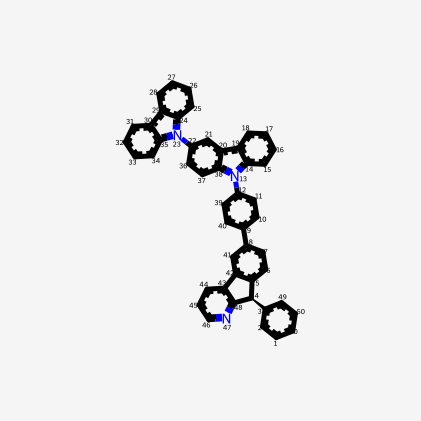 c1ccc([C@@H]2c3ccc(-c4ccc(-n5c6ccccc6c6cc(-n7c8ccccc8c8ccccc87)ccc65)cc4)cc3-c3cccnc32)cc1